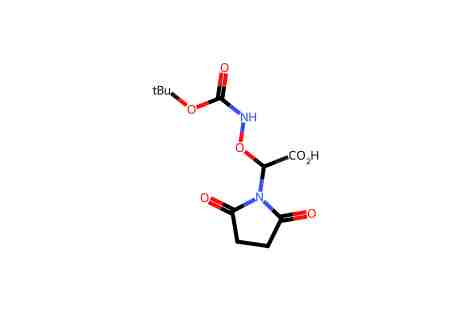 CC(C)(C)OC(=O)NOC(C(=O)O)N1C(=O)CCC1=O